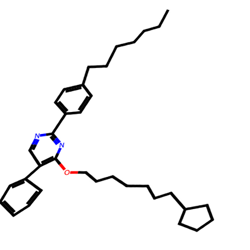 CCCCCCCc1ccc(-c2ncc(-c3ccccc3)c(OCCCCCCCC3CCCC3)n2)cc1